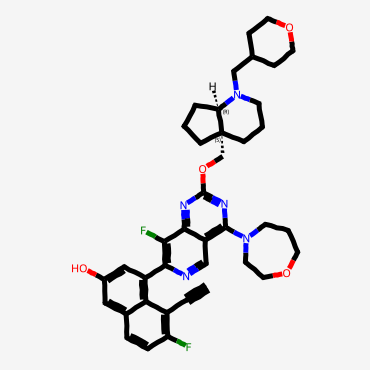 C#Cc1c(F)ccc2cc(O)cc(-c3ncc4c(N5CCCOCC5)nc(OC[C@]56CCC[C@H]5N(CC5CCOCC5)CCC6)nc4c3F)c12